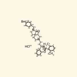 Cc1cccc(C)c1C(=O)NC(CCN1CCC2(CC1)CCN(Cc1ccc(Br)cc1)C2=O)c1ccccc1.Cl